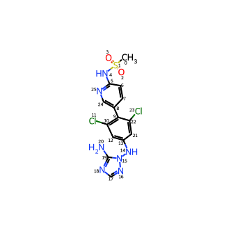 CS(=O)(=O)Nc1ccc(-c2c(Cl)cc(Nn3ncnc3N)cc2Cl)cn1